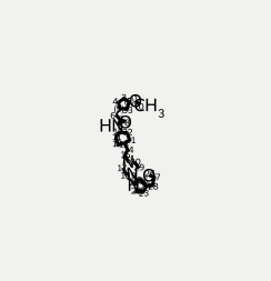 CO[C@H]1CC[C@H](CC(=O)NC2CCC(CCN3CCN(c4nccc5c4OCC5)CC3)CC2)C1